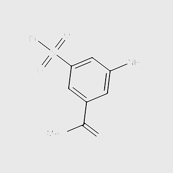 CCS(=O)(=O)c1cc(N)cc(C(=O)OC)c1